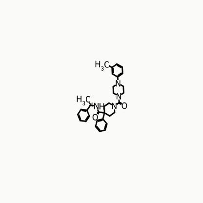 Cc1cccc(N2CCN(C(=O)N3CCC(C(=O)N[C@@H](C)c4ccccc4)(c4ccccc4)CC3)CC2)c1